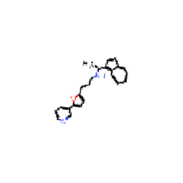 CC(NCCCc1ccc(-c2cccnc2)o1)c1ccc2cccccc1-2